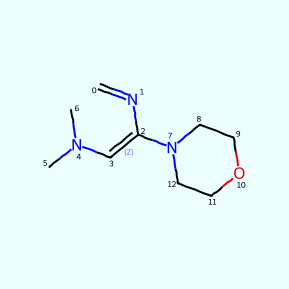 C=N/C(=C\N(C)C)N1CCOCC1